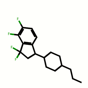 CCCC1CCC(C2CC(F)(F)c3c2ccc(F)c3F)CC1